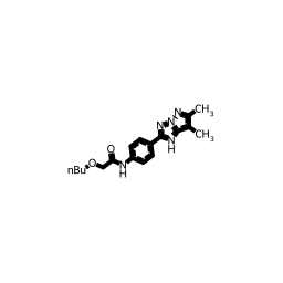 CCCCOCC(=O)Nc1ccc(-c2nn3nc(C)c(C)c3[nH]2)cc1